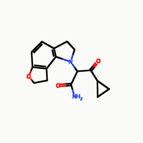 NC(=O)C(C(=O)C1CC1)N1CCc2ccc3c(c21)CCO3